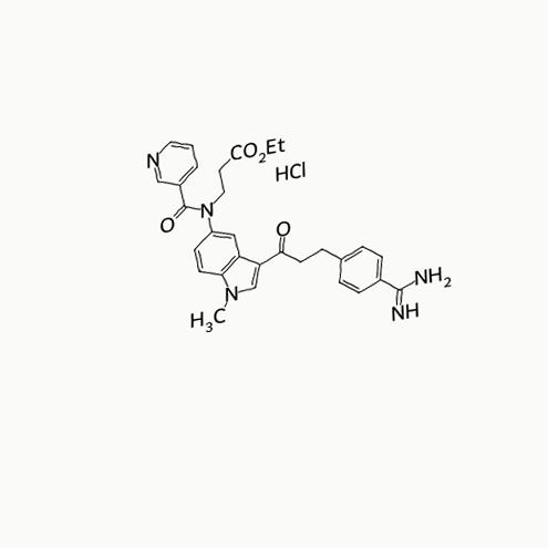 CCOC(=O)CCN(C(=O)c1cccnc1)c1ccc2c(c1)c(C(=O)CCc1ccc(C(=N)N)cc1)cn2C.Cl